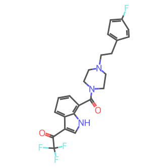 O=C(c1cccc2c(C(=O)C(F)(F)F)c[nH]c12)N1CCN(CCc2ccc(F)cc2)CC1